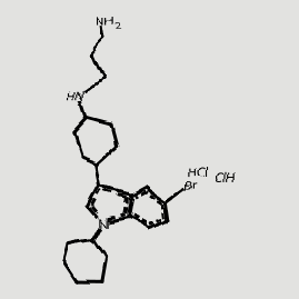 Cl.Cl.NCCCNC1CCC(c2cn(C3CCCCC3)c3ccc(Br)cc23)CC1